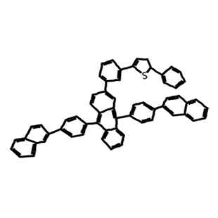 C1=C(c2cccc(-c3ccc4c(-c5ccc(-c6ccc7ccccc7c6)cc5)c5ccccc5c(-c5ccc(-c6ccc7ccccc7c6)cc5)c4c3)c2)SC(c2ccccc2)C1